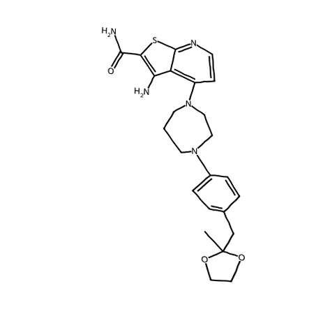 CC1(Cc2ccc(N3CCCN(c4ccnc5sc(C(N)=O)c(N)c45)CC3)cc2)OCCO1